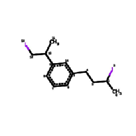 CC(I)CCc1cccc(C(C)CI)c1